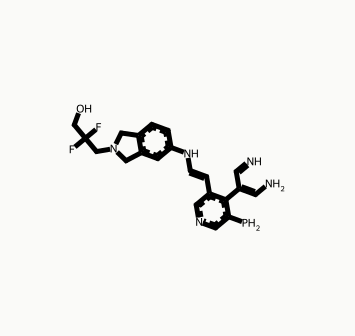 N=C/C(=C\N)c1c(P)cncc1/C=C/Nc1ccc2c(c1)CN(CC(F)(F)CO)C2